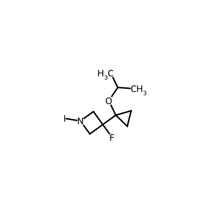 CC(C)OC1(C2(F)CN(I)C2)CC1